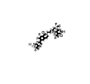 Nc1nc(-c2cc3ccn(CCC[C@H](COC(F)F)Nc4cn[nH]c(=O)c4C(F)(F)F)c(=O)c3c(F)c2F)cnc1C(F)(F)F